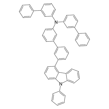 c1ccc(-c2cccc(N(c3cccc(-c4ccccc4)c3)c3cccc(-c4cccc(-c5cccc6c5c5ccccc5n6-c5ccccc5)c4)c3)c2)cc1